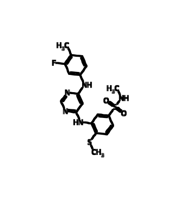 CNS(=O)(=O)c1ccc(SC)c(Nc2cc(Nc3ccc(C)c(F)c3)ncn2)c1